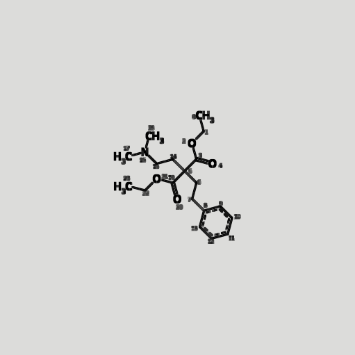 CCOC(=O)C(CCc1ccccc1)(CCN(C)C)C(=O)OCC